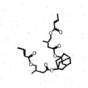 CC=CC(=O)OCC(C)CC(=O)OC12CC3CC(C1)CC(OC(=O)CC(C)COC(=O)C=CC)(C3)C2